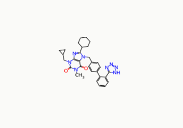 Cn1c(=O)c2c(nc(C3CCCCC3)n2Cc2ccc(-c3ccccc3-c3nnn[nH]3)cc2)n(CC2CC2)c1=O